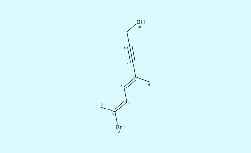 C/C(Br)=C\C=C(/C)C#CCO